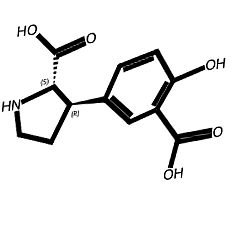 O=C(O)c1cc([C@H]2CCN[C@@H]2C(=O)O)ccc1O